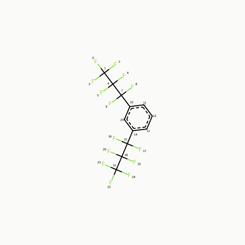 FC(F)(F)C(F)(F)C(F)(F)c1[c]ccc(C(F)(F)C(F)(F)C(F)(F)F)c1